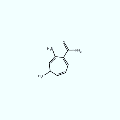 CC1C=CC=C(C(N)=O)C(N)=C1